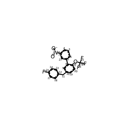 O=[N+]([O-])c1cccc(-c2cc(Cc3ccc(F)cc3)ccc2OC(F)(F)F)c1